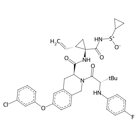 C=C[C@@H]1C[C@]1(NC(=O)[C@@H]1Cc2cc(Oc3cccc(Cl)c3)ccc2CN1C(=O)[C@@H](Nc1ccc(F)cc1)C(C)(C)C)C(=O)N[S+]([O-])C1CC1